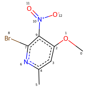 COc1cc(C)nc(Br)c1[N+](=O)[O-]